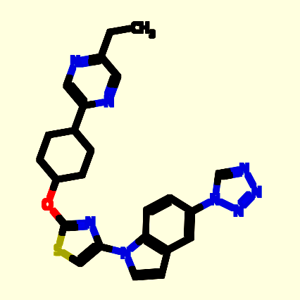 CCc1cnc(C2CCC(Oc3nc(-n4ccc5cc(-n6cnnn6)ccc54)cs3)CC2)cn1